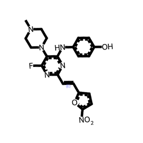 CN1CCN(c2c(F)nc(/C=C/c3ccc([N+](=O)[O-])o3)nc2Nc2ccc(O)cc2)CC1